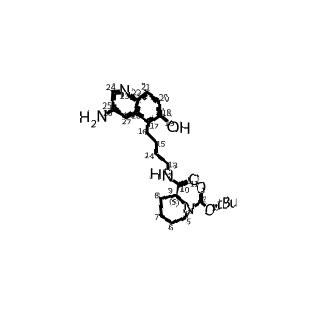 CC(C)(C)OC(=O)N1CCCC[C@H]1C(=O)NCCCCc1c(O)ccc2ncc(N)cc12